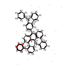 c1ccc(-c2ccccc2-c2c(-c3ccccc3)cccc2N(c2ccc(-c3ccc4c(c3)c3ccccc3n4-c3ccccc3)cc2)c2ccccc2-c2ccccc2)cc1